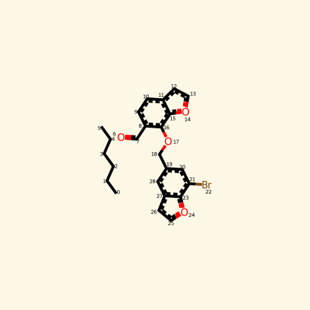 CCCCCC.O=Cc1ccc2ccoc2c1OCc1cc(Br)c2occc2c1